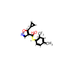 Cc1ccc(SC(O)c2cnoc2C2CC2)c(C(F)(F)F)c1